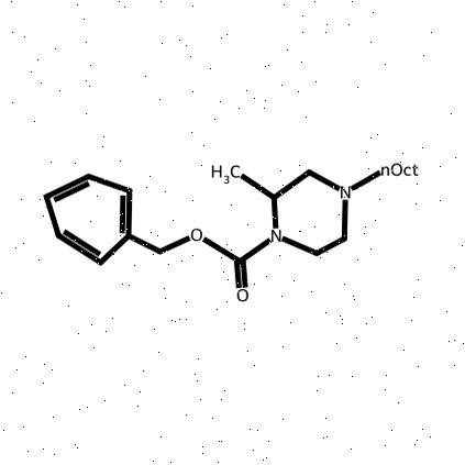 CCCCCCCCN1CCN(C(=O)OCc2ccccc2)C(C)C1